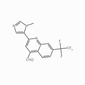 Cn1cncc1-c1cc(C=O)c2ccc(C(F)(F)C(F)(F)F)cc2n1